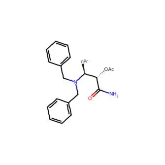 CCC[C@@H]([C@H](OC(C)=O)C(N)=O)N(Cc1ccccc1)Cc1ccccc1